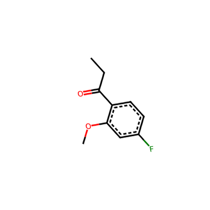 CCC(=O)c1ccc(F)cc1OC